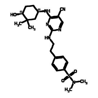 CN(C)S(=O)(=O)c1ccc(CCNc2ncc(C#N)c(N[C@@H]3CC[C@H](O)C(C)(C)C3)n2)cc1